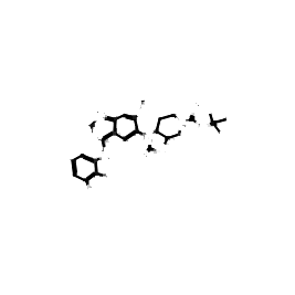 COc1cc2ncnc(Nc3cccc(Cl)c3F)c2cc1N1C(=O)OC2CN(C(=O)OC(C)(C)C)CCC21